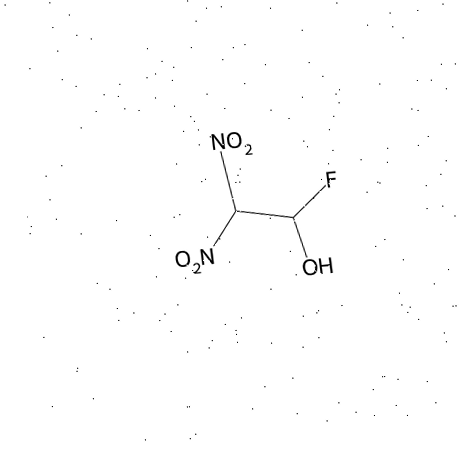 O=[N+]([O-])C(C(O)F)[N+](=O)[O-]